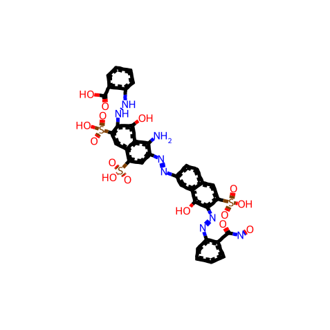 Nc1c(N=Nc2ccc3cc(S(=O)(=O)O)c(N=Nc4ccccc4C(=O)N=O)c(O)c3c2)cc(S(=O)(=O)O)c2cc(S(=O)(=O)O)c(NNc3ccccc3C(=O)O)c(O)c12